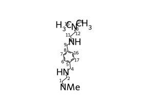 CNCCNCc1ccc(CNCCN(C)C)cc1